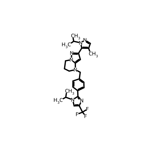 Cc1cnn(C(C)C)c1-c1cc2n(n1)CCCN2Cc1ccc(-c2nc(C(F)(F)F)cn2C(C)C)cc1